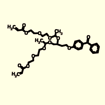 C=CC(=O)OCCOCCOC(C)OCC(CCOc1ccc(C(=O)c2ccccc2)cc1)OC(C)OCCOCCOC(=O)C=C